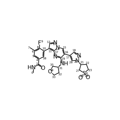 CNC(=O)c1cc(C)c(F)c(-c2cnn3cc(-c4cnn(C5CCS(=O)(=O)C5)c4)c(N[C@H]4CCOC4)nc23)c1